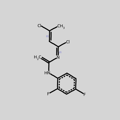 C=C(/N=C(Cl)\C=C(/C)Cl)Nc1ccc(F)cc1F